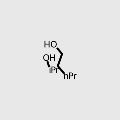 CC(C)O.CCCCCO